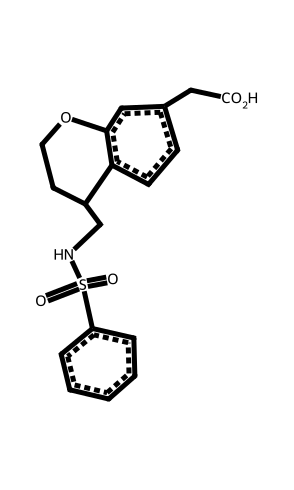 O=C(O)Cc1ccc2c(c1)OCCC2CNS(=O)(=O)c1ccccc1